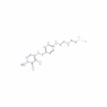 CC(C)(C)n1ncc(OCc2ccc(OCCOCCSF)nc2)c(Cl)c1=O